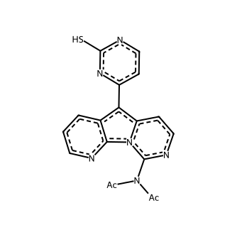 CC(=O)N(C(C)=O)c1nccc2c(-c3ccnc(S)n3)c3cccnc3n12